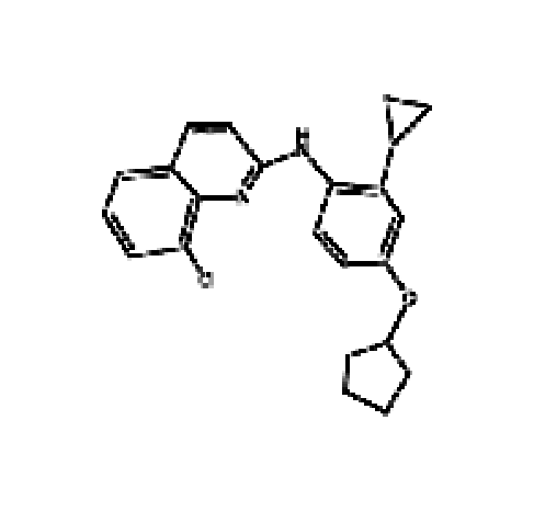 Clc1cccc2ccc(Nc3ccc(OC4CCCC4)cc3C3CC3)nc12